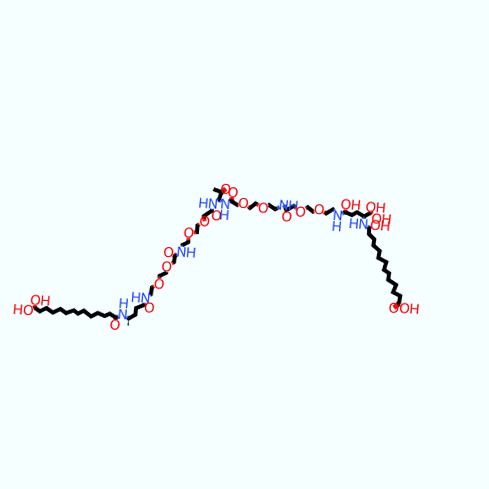 CC(=O)C(NC(=O)COCCOCCNC(=O)COCCOCCNC(=O)CC[C@H](C)NC(=O)CCCCCCCCCCCCC(O)O)NC(=O)COCCOCCNC(=O)COCCOCCNC(O)CCC(N[C@@H](O)CCCCCCCCCCCCC(=O)O)C(O)O